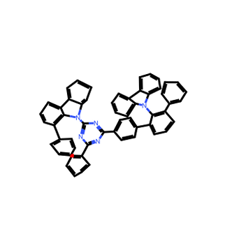 c1ccc(-c2nc(-c3ccc(-c4cccc(-c5ccccc5)c4-n4c5ccccc5c5ccccc54)cc3)nc(-n3c4ccccc4c4cccc(-c5ccccc5)c43)n2)cc1